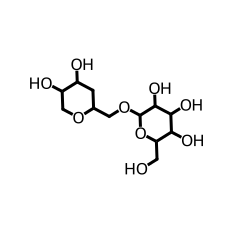 OCC1OC(OCC2CC(O)C(O)CO2)C(O)C(O)C1O